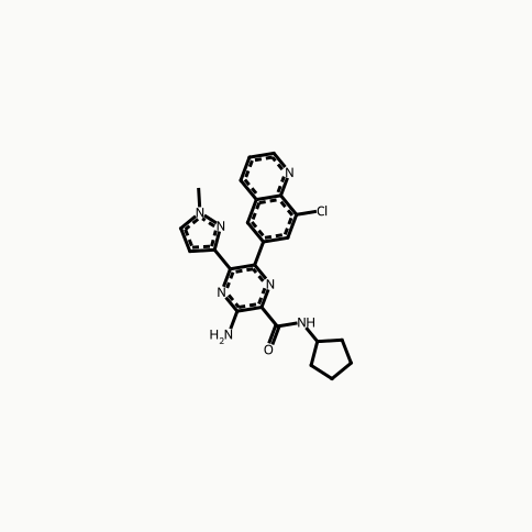 Cn1ccc(-c2nc(N)c(C(=O)NC3CCCC3)nc2-c2cc(Cl)c3ncccc3c2)n1